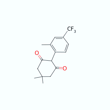 Cc1cc(C(F)(F)F)ccc1C1C(=O)CC(C)(C)CC1=O